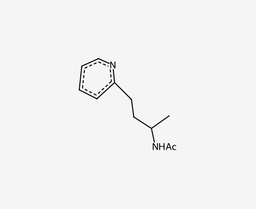 CC(=O)NC(C)CCc1ccccn1